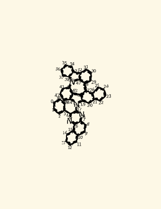 c1ccc(-c2nc3c(ccc4ccccc43)nc2-n2c3cc4ccccc4c4c5cccc6c7ccccc7n(c7cccc2c7c43)c65)cc1